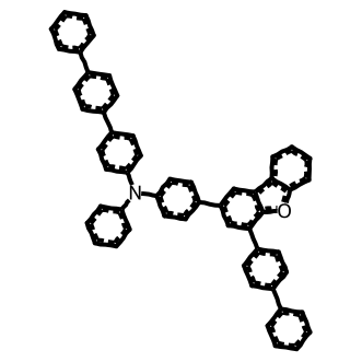 c1ccc(-c2ccc(-c3ccc(N(c4ccccc4)c4ccc(-c5cc(-c6ccc(-c7ccccc7)cc6)c6oc7ccccc7c6c5)cc4)cc3)cc2)cc1